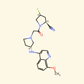 COc1cccc2c(N[C@@H]3CCN(CC(=O)N4C[C@@H](F)C[C@H]4C#N)C3)ccnc12